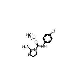 Cl.NC1=NCCN1C(=O)Nc1ccc(Cl)cc1.O